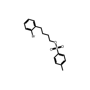 Cc1ccc(S(=O)(=O)OCCCCc2ccccc2Br)cc1